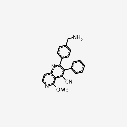 COc1nccc2nc(-c3ccc(CN)cc3)c(-c3ccccc3)c(C#N)c12